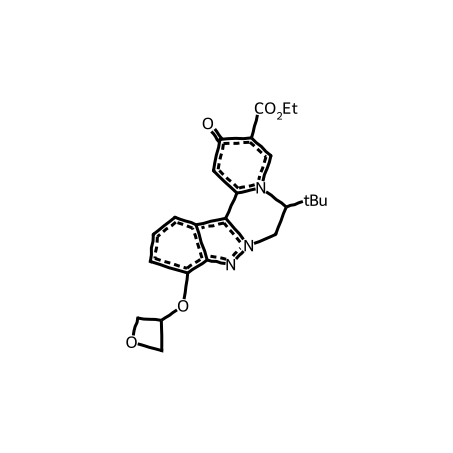 CCOC(=O)c1cn2c(cc1=O)-c1c3cccc(OC4COC4)c3nn1CC2C(C)(C)C